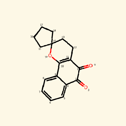 O=C1C(=O)c2ccccc2C2=C1CCC1(CCCC1)O2